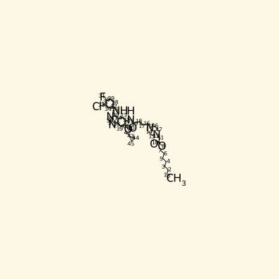 CCCCCCCCOC(=O)CN1CCN(CC=CC(=O)Nc2cc3c(Nc4ccc(F)c(Cl)c4)ncnc3cc2OCC2CC2)CC1